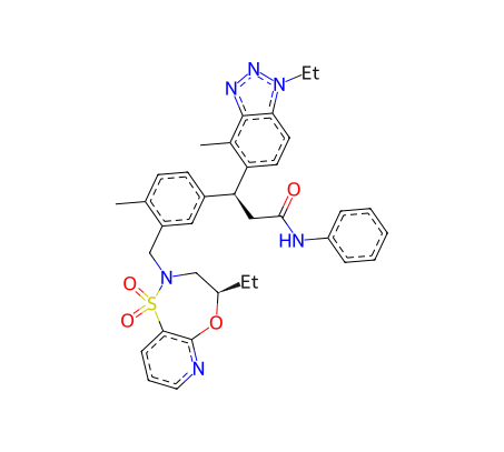 CC[C@@H]1CN(Cc2cc([C@H](CC(=O)Nc3ccccc3)c3ccc4c(nnn4CC)c3C)ccc2C)S(=O)(=O)c2cccnc2O1